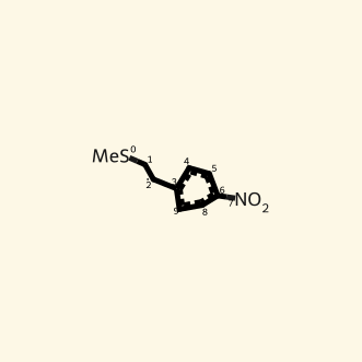 CSC[CH]c1ccc([N+](=O)[O-])cc1